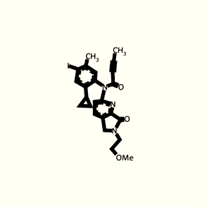 CC#CC(=O)N(c1ccc2c(n1)C(=O)N(CCOC)C2)c1cc(C)c(I)cc1C1CC1